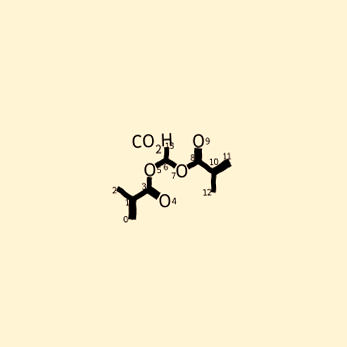 C=C(C)C(=O)OC(OC(=O)C(=C)C)C(=O)O